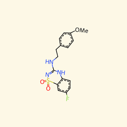 COc1ccc(CCNC2=NS(=O)(=O)c3cc(F)ccc3N2)cc1